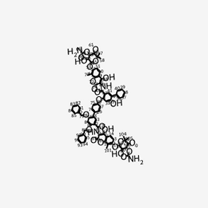 CO[C@@H]1[C@@H](OC(N)=O)[C@@H](O)[C@H](Oc2ccc3c(O)c(NC(=O)c4cc(-c5ccc(Oc6cc(O)c(-c7ccccc7)cc6C(=O)Nc6c(O)c7ccc(O[C@@H]8OC(C)(C)[C@H](OC)[C@@H](OC(N)=O)[C@H]8O)c(C)c7oc6=O)cc5)c(OCc5ccccc5)cc4OCc4ccccc4)c(=O)oc3c2C)OC1(C)C